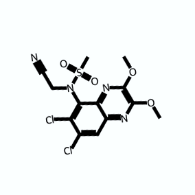 COc1nc2cc(Cl)c(Cl)c(N(CC#N)S(C)(=O)=O)c2nc1OC